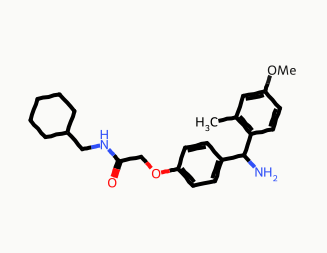 COc1ccc(C(N)c2ccc(OCC(=O)NCC3CCCCC3)cc2)c(C)c1